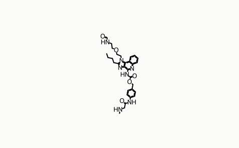 CCCCc1nc2c(NC(=O)OCc3ccc(NC(=O)CNC)cc3)nc3ccccc3c2n1CCOCCNC=O